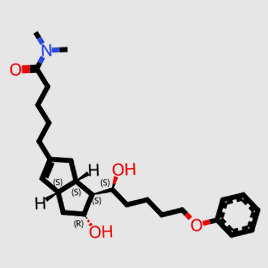 CN(C)C(=O)CCCCC1=C[C@H]2C[C@@H](O)[C@H]([C@@H](O)CCCCOc3ccccc3)[C@H]2C1